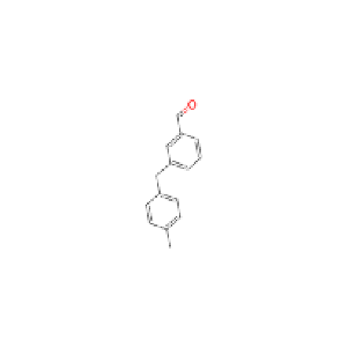 Cc1ccc(Cc2cccc(C=O)c2)cc1